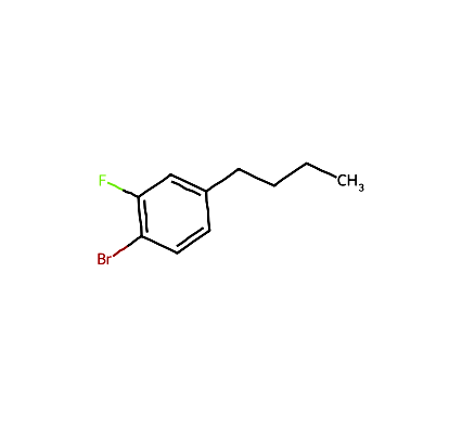 CCCCc1ccc(Br)c(F)c1